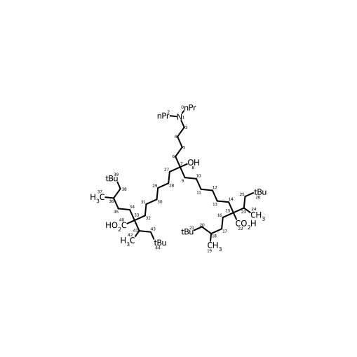 CCCN(CCC)CCCCC(O)(CCCCCCC(CCC(C)CC(C)(C)C)(C(=O)O)C(C)CC(C)(C)C)CCCCCCC(CCC(C)CC(C)(C)C)(C(=O)O)C(C)CC(C)(C)C